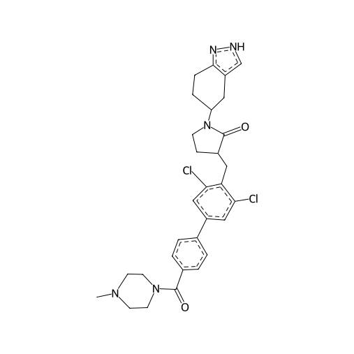 CN1CCN(C(=O)c2ccc(-c3cc(Cl)c(CC4CCN(C5CCc6n[nH]cc6C5)C4=O)c(Cl)c3)cc2)CC1